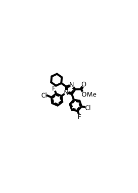 COC(=O)c1nc(C2CCCCC2)n(-c2cccc(Cl)c2F)c1-c1ccc(F)c(Cl)c1